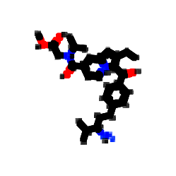 CCc1cc2cc(C(=O)N(CC(=O)OC)C(C)C)ccn2c1C(=O)c1ccc(CCC(N)C(C)C)cc1